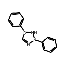 C1=NN(c2ccccc2)NN1c1ccccc1